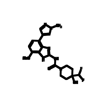 COc1ccc(-c2cnn(C)c2)c2nc(NC(=O)N3CCC(O)(C(F)F)CC3)[nH]c12